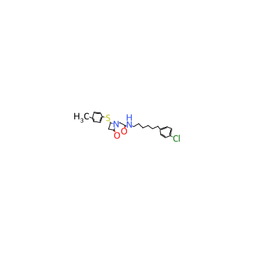 Cc1ccc(SC2CC(=O)N2CC(=O)NCCCCCCc2ccc(Cl)cc2)cc1